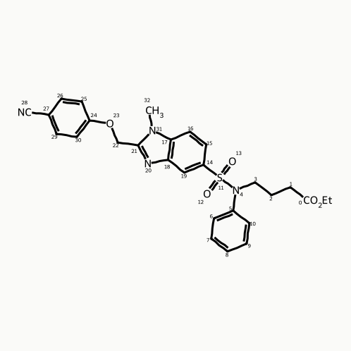 CCOC(=O)CCCN(c1ccccc1)S(=O)(=O)c1ccc2c(c1)nc(COc1ccc(C#N)cc1)n2C